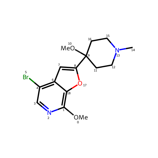 COc1ncc(Br)c2cc(C3(OC)CCN(C)CC3)oc12